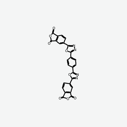 O=C1OC(=O)c2cc(-c3nnc(-c4ccc(-c5nnc(-c6ccc7c(c6)C(=O)OC7=O)o5)cc4)o3)ccc21